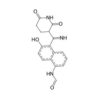 N=C(c1c(O)ccc2c(NC=O)cccc12)C1CCC(=O)NC1=O